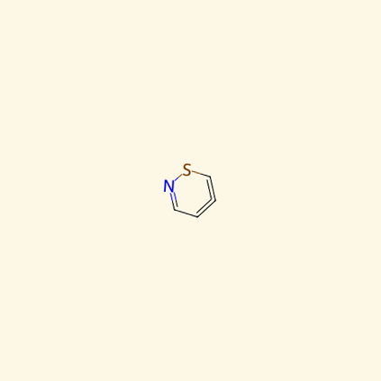 C1=CC=NSC=1